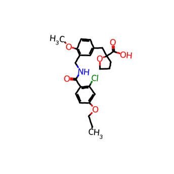 CCCOc1ccc(C(=O)NCc2cc(CC3(C(=O)O)CCCO3)ccc2OC)c(Cl)c1